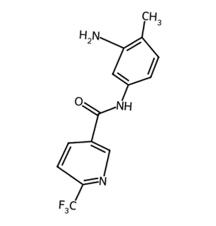 Cc1ccc(NC(=O)c2ccc(C(F)(F)F)nc2)cc1N